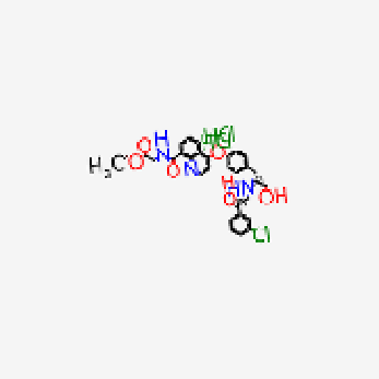 CCOC(=O)CNC(=O)c1cccc2c(Oc3ccc(C[C@@H](CO)NC[C@@H](O)c4cccc(Cl)c4)cc3)ccnc12.Cl.Cl